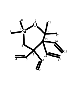 C=CC1(C=C)C[Si](C)(C)OC(C)(C)C1(C=C)C=C